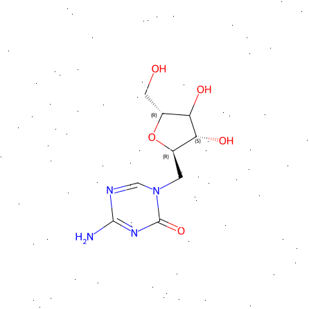 Nc1ncn(C[C@H]2O[C@H](CO)C(O)[C@@H]2O)c(=O)n1